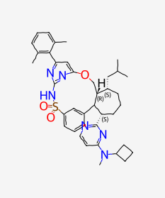 Cc1cccc(C)c1-c1cc2nc(n1)NS(=O)(=O)c1cccc(c1)C1[C@@H](c3nccc(N(C)C4CCC4)n3)CCC[C@@H](CC(C)C)[C@H]1CO2